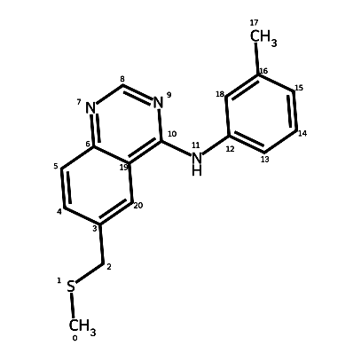 CSCc1ccc2ncnc(Nc3cccc(C)c3)c2c1